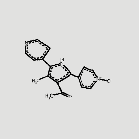 CC(=O)c1c(-c2cc[n+]([O-])cc2)[nH]c(-c2ccncc2)c1C